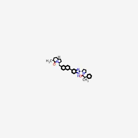 C[C@H]1CC[C@H]2CC[C@@H](Cc3ccc4cc(-c5ccc6[nH]c([C@@H]7CCCN7C(=O)[C@H](C)c7ccccc7)nc6c5)ccc4c3)N2C1=O